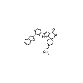 NCCN1CCC2(CC1)CNC(=O)c1cc(-c3ccnc(-c4cc5ccccc5o4)n3)[nH]c12